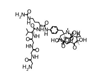 CC1=C2C(=C[C@](C)(CO)[C@@H]2C(Cc2ccc(NC(=O)[C@H](CCCNC(N)=O)NC(=O)[C@@H](NC(=O)CNC(=O)CNC(=O)CN)C(C)C)cc2)(CN(C)C(=O)O)N(C)C(=O)O)C(=O)[C@](C)(O)C12CC2